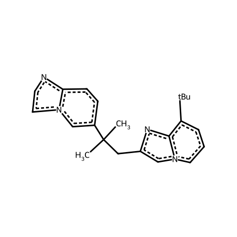 CC(C)(C)c1cccn2cc(CC(C)(C)c3ccc4nccn4c3)nc12